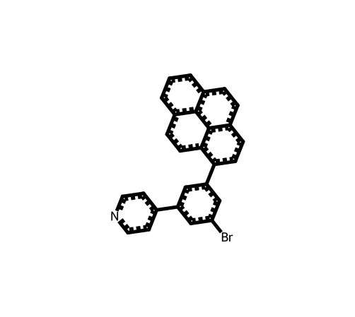 Brc1cc(-c2ccncc2)cc(-c2ccc3ccc4cccc5ccc2c3c45)c1